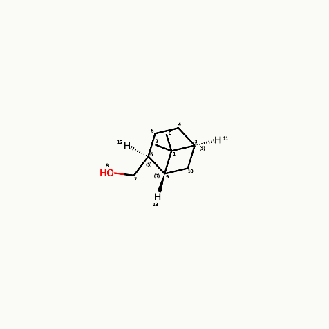 CC1(C)[C@H]2CC[C@H](CO)[C@H]1C2